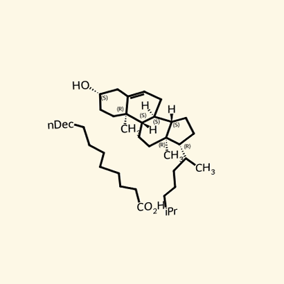 CC(C)CCCC(C)[C@H]1CC[C@H]2[C@@H]3CC=C4C[C@@H](O)CC[C@]4(C)[C@H]3CC[C@]12C.CCCCCCCCCCCCCCCCCC(=O)O